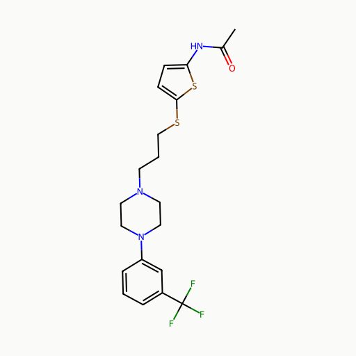 CC(=O)Nc1ccc(SCCCN2CCN(c3cccc(C(F)(F)F)c3)CC2)s1